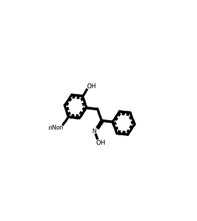 CCCCCCCCCc1ccc(O)c(CC(=NO)c2ccccc2)c1